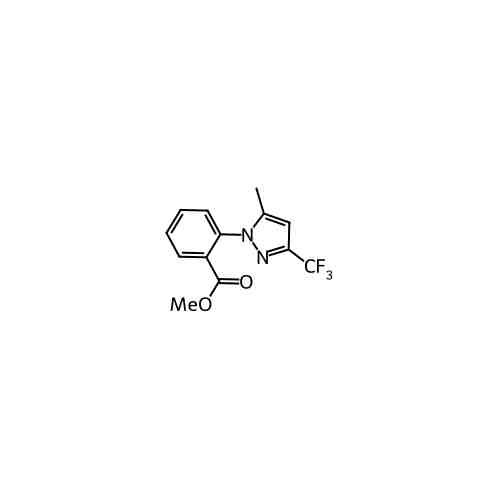 COC(=O)c1ccccc1-n1nc(C(F)(F)F)cc1C